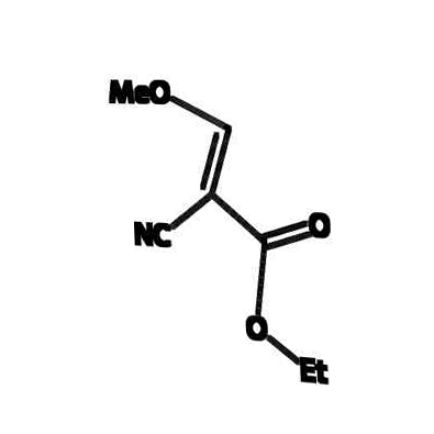 CCOC(=O)/C(C#N)=C/OC